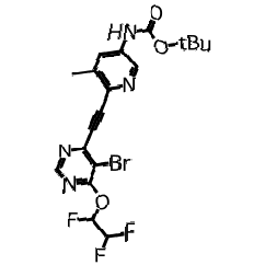 Cc1cc(NC(=O)OC(C)(C)C)cnc1C#Cc1ncnc(OC(F)C(F)F)c1Br